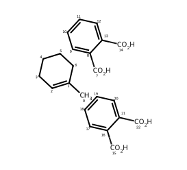 CC1=CCCCC1.O=C(O)c1ccccc1C(=O)O.O=C(O)c1ccccc1C(=O)O